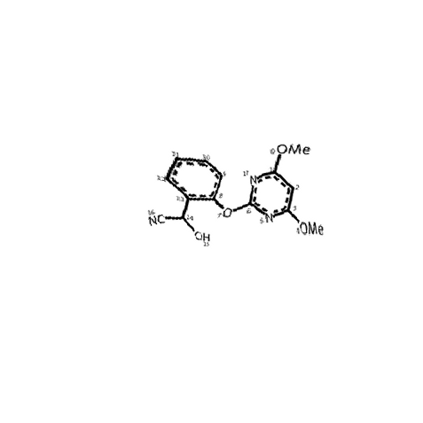 COc1cc(OC)nc(Oc2ccccc2C(O)C#N)n1